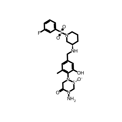 Cc1cc(CN[C@@H]2CCCN(S(=O)(=O)c3cccc(F)c3)C2)cc(O)c1N1CC(=O)N(N)C[S+]1[O-]